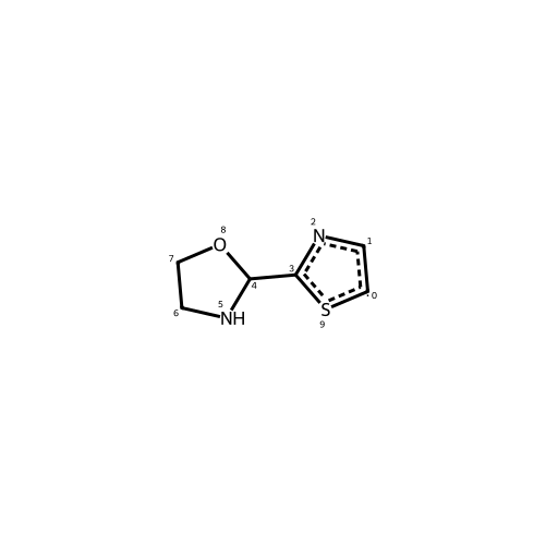 [c]1cnc(C2NCCO2)s1